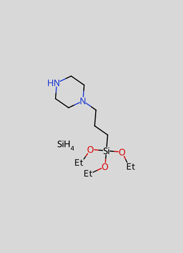 CCO[Si](CCCN1CCNCC1)(OCC)OCC.[SiH4]